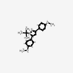 COc1ccc(-c2cc(-c3ccc(OC)cc3)n(C(C)(C)C)n2)cc1